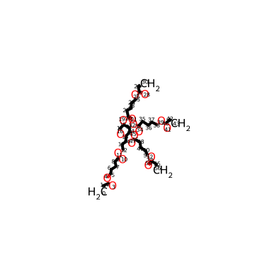 C=CC(=O)OCCCCC(=O)OCCCC1OC[C@@H](OC(=O)CCCCOC(=O)C=C)[C@H](OC(=O)CCCCOC(=O)C=C)[C@H]1OC(=O)CCCCOC(=O)C=C